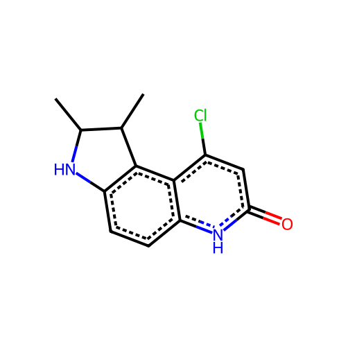 CC1Nc2ccc3[nH]c(=O)cc(Cl)c3c2C1C